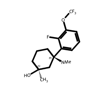 CN[C@]1(c2cccc(OC(F)(F)F)c2F)CCC[C@](C)(O)C1